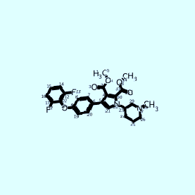 COC(=O)c1c(-c2ccc(Oc3c(F)cccc3F)cc2)cn(C2CCCN(C)C2)c1C(=O)OC